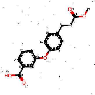 COC(=O)CCc1ccc(Oc2cccc(C(=O)O)c2)cc1